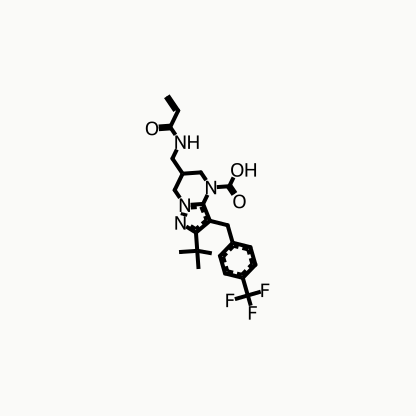 C=CC(=O)NCC1CN(C(=O)O)c2c(Cc3ccc(C(F)(F)F)cc3)c(C(C)(C)C)nn2C1